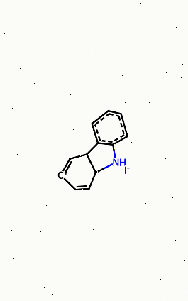 [C+]1=CC2c3ccccc3NC2C=C1.[I-]